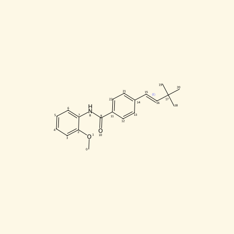 COc1ccccc1NC(=O)c1ccc(/C=C/C(C)(C)C)cc1